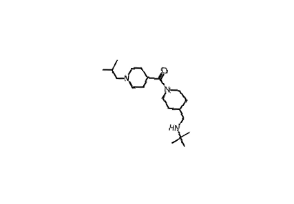 CC(C)CN1CCC(C(=O)N2CCC(CNC(C)(C)C)CC2)CC1